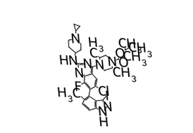 Cc1ccc2[nH]nc(I)c2c1-c1c(Cl)cc2c(N3CC(C)N(C(=O)OC(C)(C)C)CC3C)nc(NC3CCN(C4CC4)CC3)nc2c1F